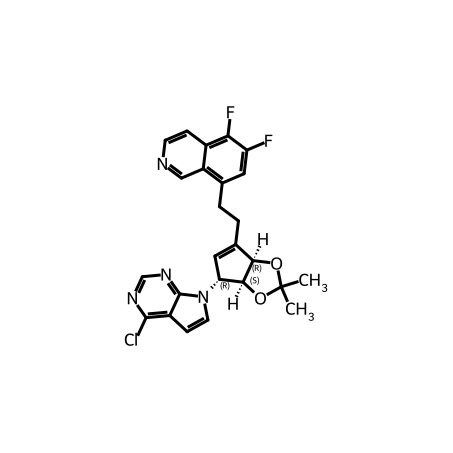 CC1(C)O[C@@H]2[C@H](O1)C(CCc1cc(F)c(F)c3ccncc13)=C[C@H]2n1ccc2c(Cl)ncnc21